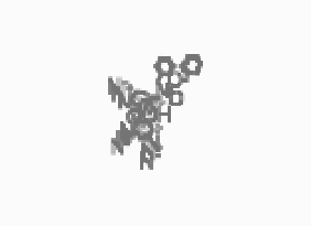 C[C@@H]1[C@@H](O)[C@H](O[C@H]2O[C@H]([C@@H](C)N(Cc3ccccc3)C(=O)OCc3ccccc3)CC[C@H]2N=[N+]=[N-])[C@@H](N=[N+]=[N-])C[C@H]1N=[N+]=[N-]